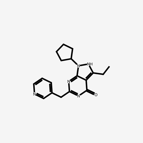 CCc1[nH]n(C2CCCC2)c2nc(Cc3cccnc3)nc(=O)c1-2